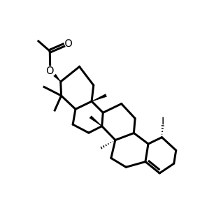 CC(=O)O[C@H]1CC[C@@]2(C)C(CC[C@]3(C)C2CCC2C4C(=CCC[C@H]4I)CC[C@]23C)C1(C)C